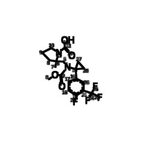 COC(=O)N(C[C@]1(C)CCCN1C(=O)O)C1(c2ccc(F)c(C(F)(F)F)c2)CC1